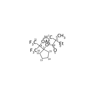 CCC(C)(C)C(=O)OC1(C(OC(C)=O)(C(F)(F)F)C(F)(F)F)CCCC1